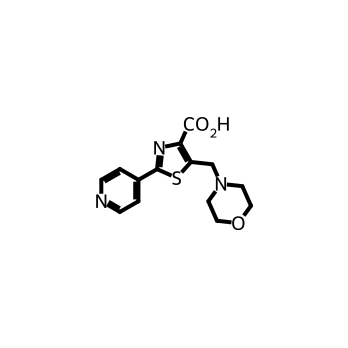 O=C(O)c1nc(-c2ccncc2)sc1CN1CCOCC1